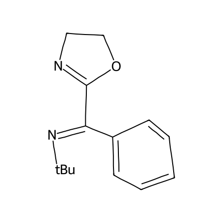 CC(C)(C)/N=C(/C1=NCCO1)c1ccccc1